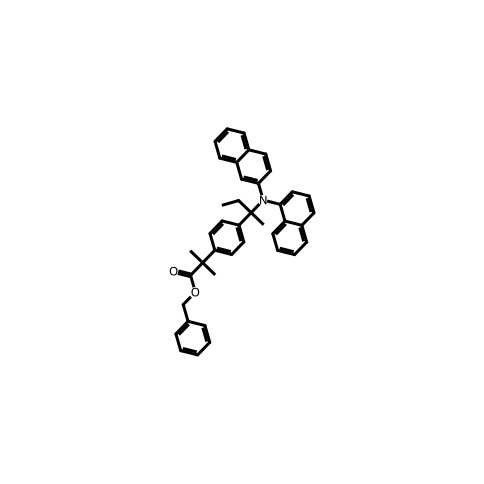 CCC(C)(c1ccc(C(C)(C)C(=O)OCc2ccccc2)cc1)N(c1ccc2ccccc2c1)c1cccc2ccccc12